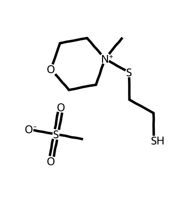 CS(=O)(=O)[O-].C[N+]1(SCCS)CCOCC1